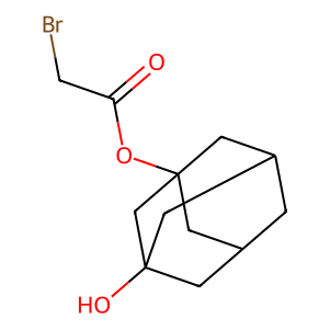 O=C(CBr)OC12CC3CC(CC(O)(C3)C1)C2